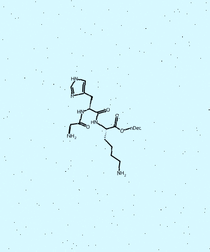 CCCCCCCCCCOC(=O)[C@H](CCCCN)NC(=O)[C@H](Cc1c[nH]cn1)NC(=O)CN